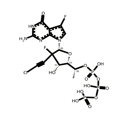 C[C@@H](OP(=O)(O)OP(=O)(O)OP(=O)(O)O)[C@H]1O[C@@H](n2cc(F)c3c(=O)[nH]c(N)nc32)C(F)(C#CCl)[C@H]1O